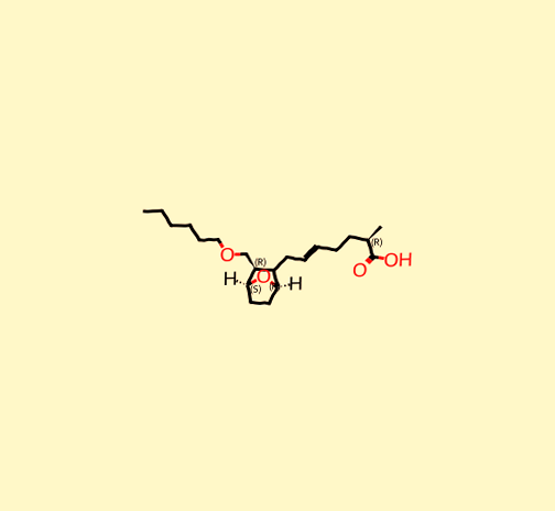 CCCCCCOC[C@H]1C(CC=CCC[C@@H](C)C(=O)O)[C@H]2CC[C@@H]1O2